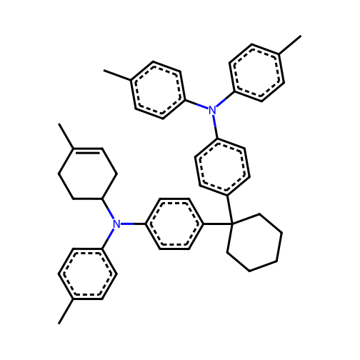 CC1=CCC(N(c2ccc(C)cc2)c2ccc(C3(c4ccc(N(c5ccc(C)cc5)c5ccc(C)cc5)cc4)CCCCC3)cc2)CC1